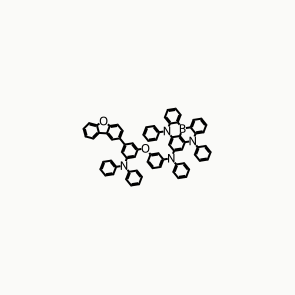 c1ccc(N(c2ccccc2)c2cc(Oc3cccc(N(c4ccccc4)c4cc5c6c(c4)N(c4ccccc4)c4ccccc4B6c4ccccc4N5c4ccccc4)c3)cc(-c3ccc4oc5ccccc5c4c3)c2)cc1